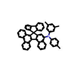 Cc1ccc(N(c2cc(C)cc(C)c2)c2cc3c(c4ccccc24)-c2c(c4ccccc4c4ccccc24)C32c3ccccc3-c3ccccc32)cc1